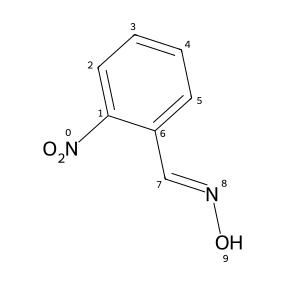 O=[N+]([O-])c1ccccc1C=NO